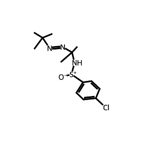 CC(C)(C)N=NC(C)(C)N[S+]([O-])c1ccc(Cl)cc1